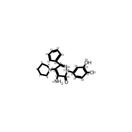 Nc1c(N2CCCCC2)c(-c2ccccc2)nn(-c2ccc(Cl)c(O)c2)c1=O